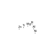 [Al].[B].[Mg].[Ni].[Ti].[Zn]